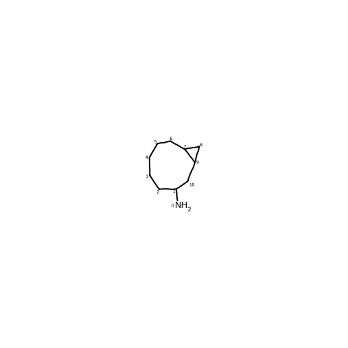 NC1CCCCCC2CC2C1